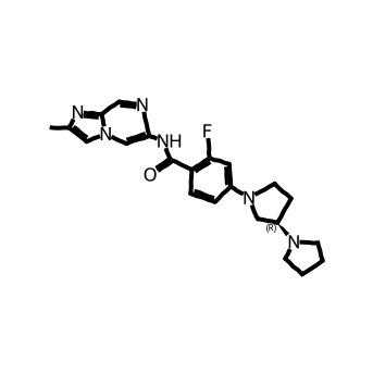 Cc1cn2cc(NC(=O)c3ccc(N4CC[C@@H](N5CCCC5)C4)cc3F)ncc2n1